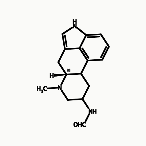 CN1CC(NC=O)CC2c3cccc4[nH]cc(c34)C[C@H]21